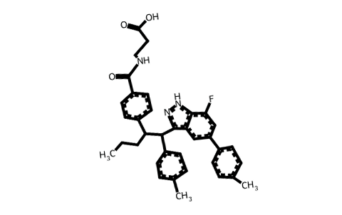 CCCC(c1ccc(C(=O)NCCC(=O)O)cc1)C(c1ccc(C)cc1)c1n[nH]c2c(F)cc(-c3ccc(C)cc3)cc12